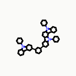 c1ccc(-n2c3ccccc3c3cc(-c4cccc(-c5ccc6c(c5)c5ccc7c(c8ccccc8n7-c7ccccc7)c5n6-c5ccccc5)c4)ccc32)cc1